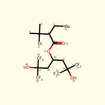 CCC(C)(C)C(CC(C)(C)C)C(=O)OC(CC(O)(C(F)(F)F)C(F)(F)F)CC(O)(C(F)(F)F)C(F)(F)F